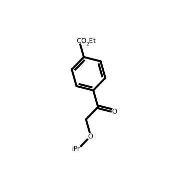 CCOC(=O)c1ccc(C(=O)COC(C)C)cc1